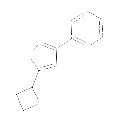 c1cnc(-c2cc(C3CC[N]3)on2)cn1